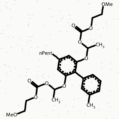 CCCCCc1cc(OC(C)OC(=O)OCCOC)c(-c2cccc(C)c2)c(OC(C)OC(=O)OCCOC)c1